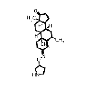 CC1C[C@@H]2[C@@H](CC[C@]3(C)C(=O)CC[C@@H]23)[C@@]2(C)CC/C(=N\O[C@@H]3CCNC3)CC12